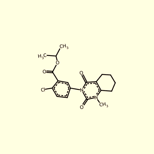 CC(C)OC(=O)c1cc(-n2c(=O)c3c(n(C)c2=O)CCCC3)ccc1Cl